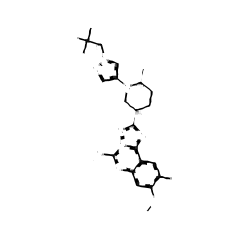 COc1cc2nc(N)n3nc([C@@H]4CC[C@H](C)N(c5cnn([C@@H](C)C(C)(C)O)c5)C4)nc3c2cc1F